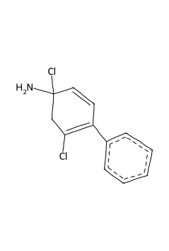 NC1(Cl)C=CC(c2ccccc2)=C(Cl)C1